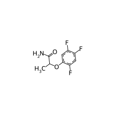 CC(Oc1cc(F)c(F)cc1F)C(N)=O